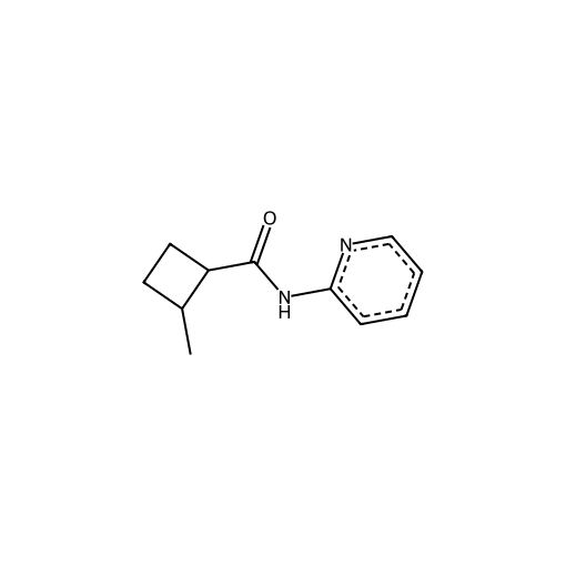 CC1CCC1C(=O)Nc1ccccn1